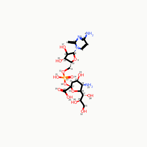 C=C1N=C(N)C=CN1[C@@H]1O[C@H](COP(=O)(O)O[C@@]2(C(=O)O)C[C@@H](O)[C@@H](N)C([C@H](O)[C@H](O)CO)O2)[C@H](O)C1O